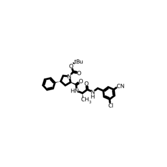 C[C@H](NC(=O)[C@H]1C[C@H](c2ccccc2)CN1C(=O)OC(C)(C)C)C(=O)NCc1cc(Cl)cc(C#N)c1